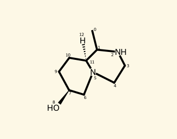 CC1NCCN2C[C@@H](O)CC[C@@H]12